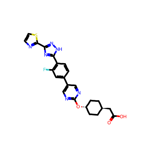 O=C(O)C[C@H]1CC[C@H](Oc2ncc(-c3ccc(-c4nc(-c5nccs5)n[nH]4)c(F)c3)cn2)CC1